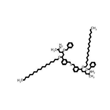 CCCCCCCCCCCCCCCCCCOC(CC(CC(C)N)OCc1ccccc1)c1cccc(CSCc2cccc(C(CC(CC(C)N)OCc3ccccc3)OCCCCCCCCCCCCCCCCCC)c2)c1